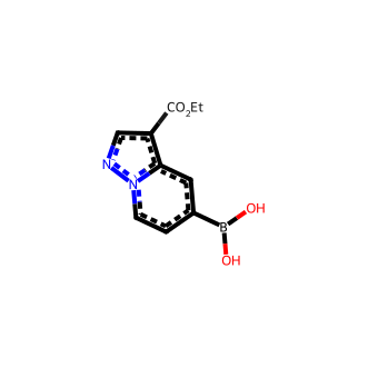 CCOC(=O)c1cnn2ccc(B(O)O)cc12